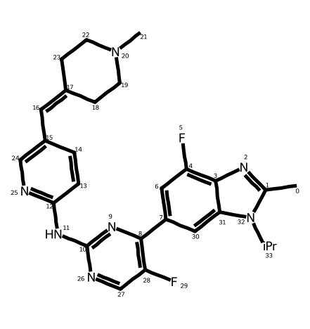 Cc1nc2c(F)cc(-c3nc(Nc4ccc(C=C5CCN(C)CC5)cn4)ncc3F)cc2n1C(C)C